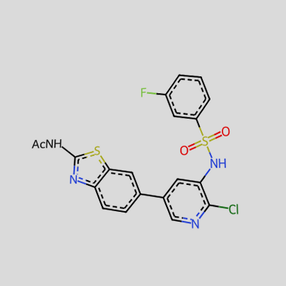 CC(=O)Nc1nc2ccc(-c3cnc(Cl)c(NS(=O)(=O)c4cccc(F)c4)c3)cc2s1